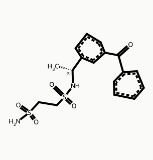 C[C@@H](NS(=O)(=O)CCS(N)(=O)=O)c1cccc(C(=O)c2ccccc2)c1